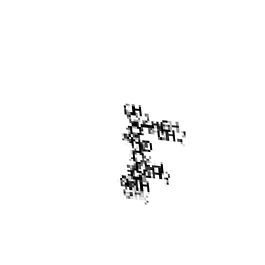 CCOc1cc2c(cc1CCCN(C)C)N(C(=O)c1ccc(-c3ccc(NC(C)=O)cc3C)c(C)c1)CC2